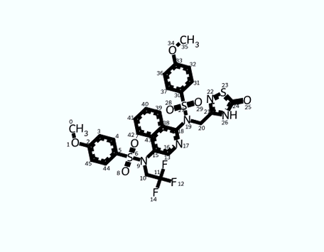 COc1ccc(S(=O)(=O)N(CC(F)(F)F)c2cnc(N(Cc3nsc(=O)[nH]3)S(=O)(=O)c3ccc(OC)cc3)c3ccccc23)cc1